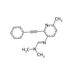 Cc1ccc(N=CN(C)C)c(C#Cc2ccccc2)n1